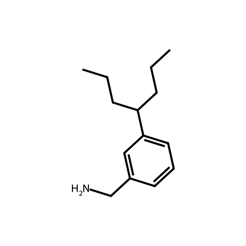 CCCC(CCC)c1cccc(CN)c1